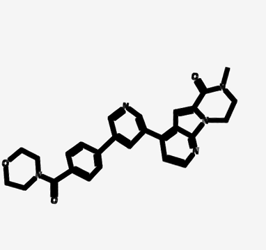 CN1CCn2c(cc3c(-c4cncc(-c5ccc(C(=O)N6CCOCC6)cc5)c4)ccnc32)C1=O